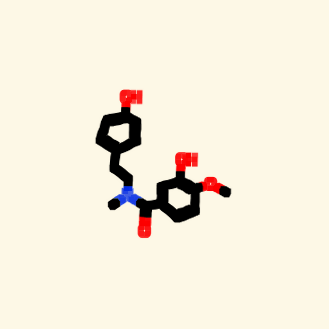 COc1ccc(C(=O)N(C)CCc2ccc(O)cc2)cc1O